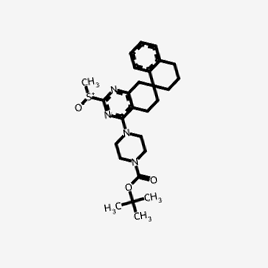 C[S+]([O-])c1nc2c(c(N3CCN(C(=O)OC(C)(C)C)CC3)n1)CCC1(CCCc3ccccc31)C2